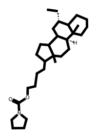 CC[C@H]1CC2C3CCC(CCCCOC(=O)N4CCCC4)C3(C)CC[C@@H]2C2(C)CCCCC12